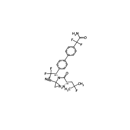 CC(C)(F)C[C@H](N)C(=O)N([C@@H](c1ccc(-c2ccc(C(F)(F)C(N)=O)cc2)cc1)C(F)(F)F)C1(C#N)CC1